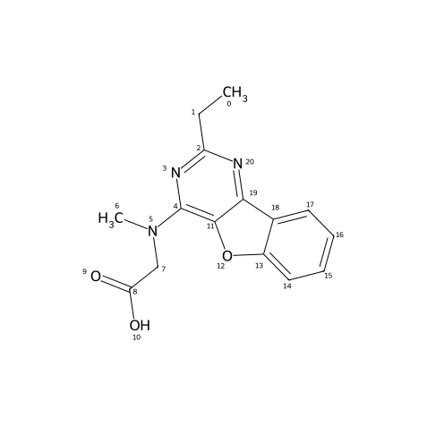 CCc1nc(N(C)CC(=O)O)c2oc3ccccc3c2n1